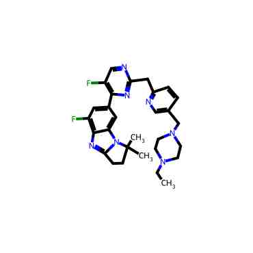 CCN1CCN(Cc2ccc(Cc3ncc(F)c(-c4cc(F)c5nc6n(c5c4)C(C)(C)CC6)n3)nc2)CC1